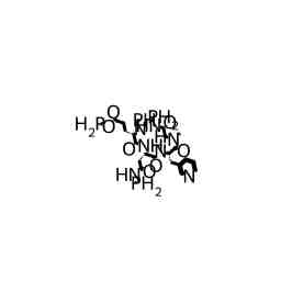 CN(CC(=O)NP)C(=O)[C@H](Cc1cccnc1)NC(=O)[C@H](CC(=O)NP)NC(=O)[C@H](CCC(=O)OP)N=P